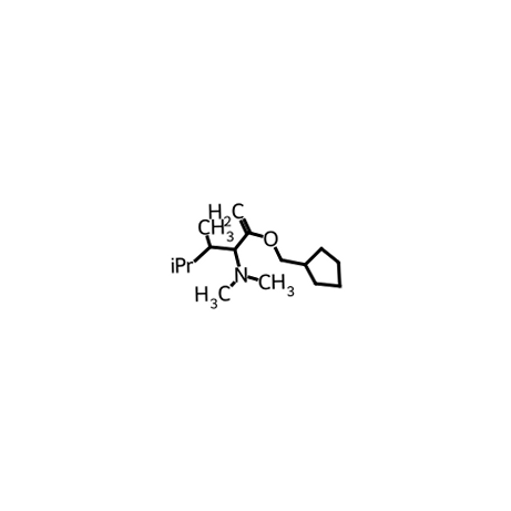 C=C(OCC1CCCC1)C(C(C)C(C)C)N(C)C